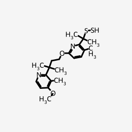 COc1ccnc(C(C)(C)CCOc2ccc(C)c(C(C)(C)SS)n2)c1C